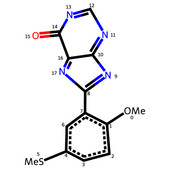 COc1ccc(SC)cc1C1=NC2=NC=NC(=O)C2=N1